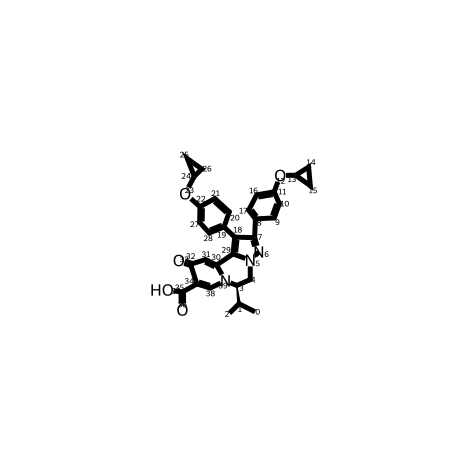 CC(C)[C@@H]1Cn2nc(-c3ccc(OC4CC4)cc3)c(-c3ccc(OC4CC4)cc3)c2-c2cc(=O)c(C(=O)O)cn21